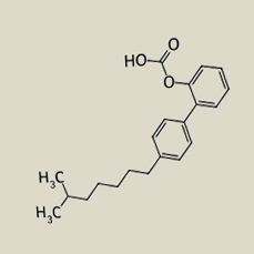 CC(C)CCCCCc1ccc(-c2ccccc2OC(=O)O)cc1